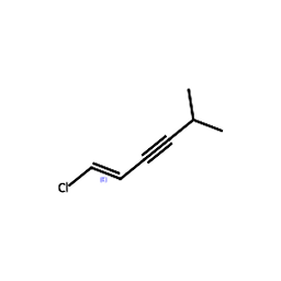 CC(C)C#C/C=C/Cl